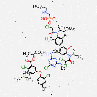 CC1COc2ccccc2N1C(=O)C(Cl)Cl.CCNc1nc(Cl)nc(NC(C)(C)C)n1.CCc1cccc(C)c1N(C(=O)CCl)C(C)COC.C[C@H](OC(=O)c1cc(Oc2ccc(C(F)(F)F)cc2Cl)ccc1Cl)C(=O)O.C[S+](C)C.O=C(O)CNCP(=O)([O-])O